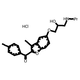 Cc1ccc(C(=O)c2oc3ccc(OCC(O)CNC(C)C)cc3c2C)cc1.Cl